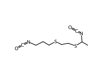 CC(N=C=O)SCCSCCCN=C=O